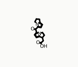 O=C(O)CC1CCn2c(C(=O)c3ccc4n3CCC4)ccc21